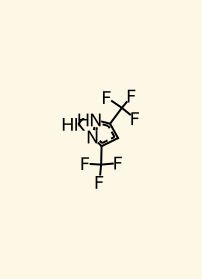 FC(F)(F)c1cc(C(F)(F)F)[nH]n1.[KH]